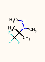 CNN(C)C(C)(C)C(F)(F)F